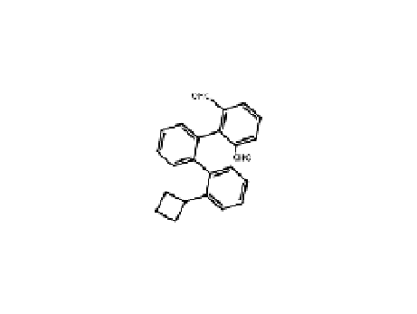 O=Cc1cccc(C=O)c1-c1ccccc1-c1ccccc1C1CCC1